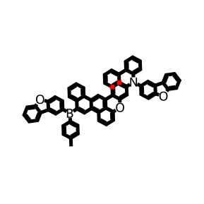 Cc1ccc(B(c2ccc3oc4ccccc4c3c2)c2cc3c4cccc5c4c(cc3c3ccccc23)-c2ccc(N(c3ccc4oc6ccccc6c4c3)c3ccccc3-c3ccccc3)cc2O5)cc1